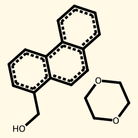 C1COCCO1.OCc1cccc2c1ccc1ccccc12